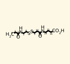 C=CC(=O)NCCSSCCC(=O)NCCCC(=O)O